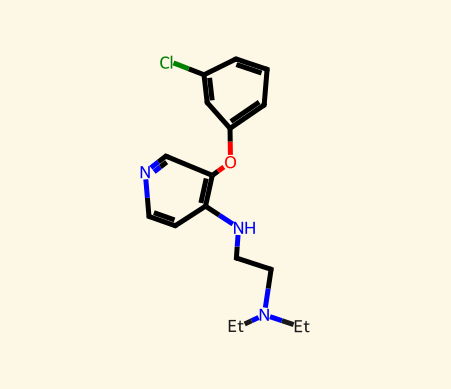 CCN(CC)CCNc1ccncc1Oc1cccc(Cl)c1